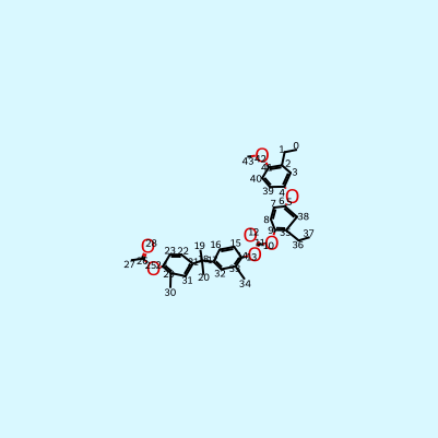 CCc1cc(Oc2ccc(OC(=O)Oc3ccc(C(C)(C)c4ccc(OC(C)=O)c(C)c4)cc3C)c(CC)c2)ccc1OC